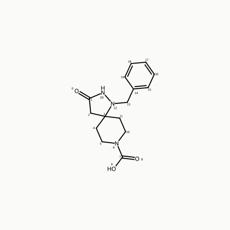 O=C1CC2(CCN(C(=O)O)CC2)N(Cc2ccccc2)N1